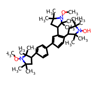 CON1C(C)(C)CC(c2ccc(-c3ccc(C4CC(C)(C)N(O)C4(C)C)c(C4CC(C)(C)N(OC)C4(C)C)c3)cc2)C1(C)C